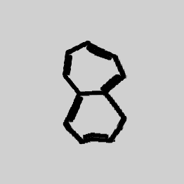 [C]1=CC=C2C=CC=CC=C2C1